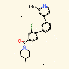 CC1CCN(C(=O)c2ccc(-c3cccc(-c4ccnc(C(C)(C)C)c4)c3)c(Cl)c2)CC1